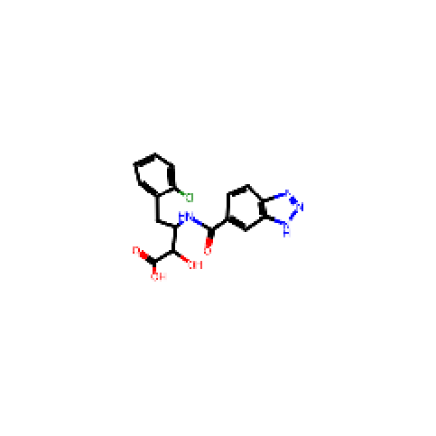 O=C(NC(Cc1ccccc1Cl)C(O)C(=O)O)c1ccc2nn[nH]c2c1